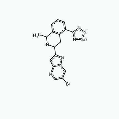 CC1[N]C(c2cc3ncc(Br)cn3n2)Cc2c(-c3nn[nH]n3)cccc21